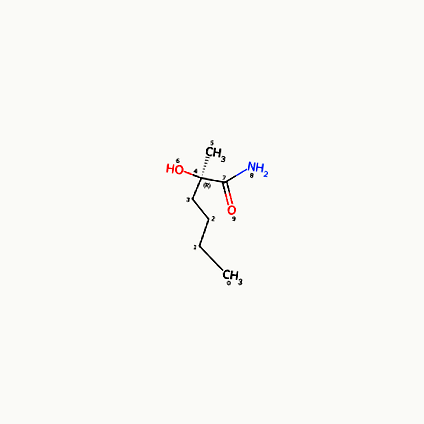 CCCC[C@@](C)(O)C(N)=O